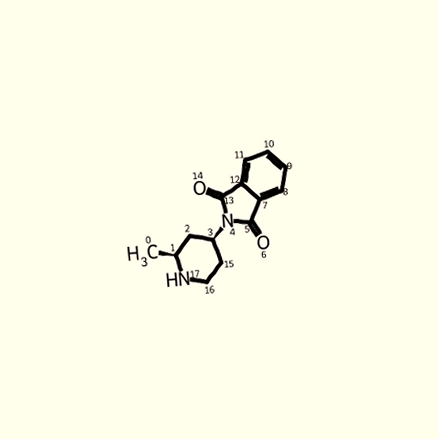 C[C@H]1C[C@@H](N2C(=O)c3ccccc3C2=O)CCN1